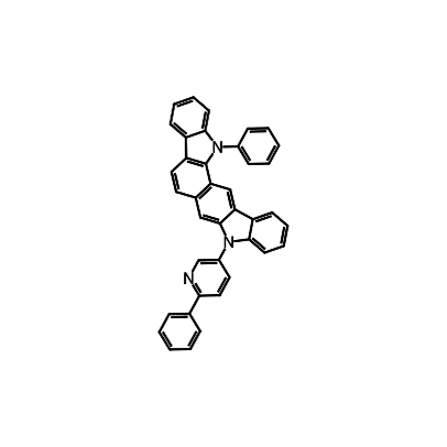 c1ccc(-c2ccc(-n3c4ccccc4c4cc5c(ccc6c7ccccc7n(-c7ccccc7)c56)cc43)cn2)cc1